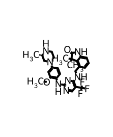 COc1cc(N2CCN[C@H](C)C2)ccc1Nc1ncc(C(F)(F)F)c(NCc2cccc3c2C(C)(C)C(=O)N3)n1